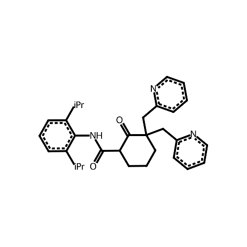 CC(C)c1cccc(C(C)C)c1NC(=O)C1CCCC(Cc2ccccn2)(Cc2ccccn2)C1=O